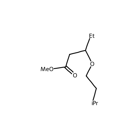 CCC(CC(=O)OC)OCCC(C)C